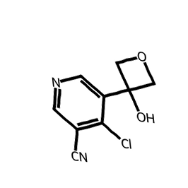 N#Cc1cncc(C2(O)COC2)c1Cl